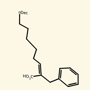 CCCCCCCCCCCCCCCC=C(Cc1ccccc1)C(=O)O